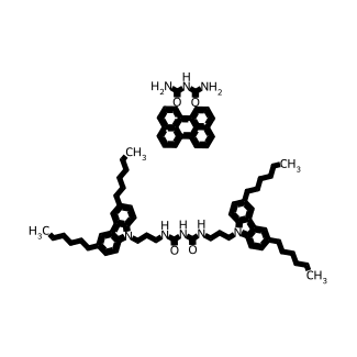 CCCCCCc1ccc2c(c1)c1cc(CCCCCC)ccc1n2CCCNC(=O)NC(=O)NCCCn1c2ccc(CCCCCC)cc2c2cc(CCCCCC)ccc21.NC(=O)NC(N)=O.c1cc2cccc3c4cccc5cccc(c(c1)c23)c54